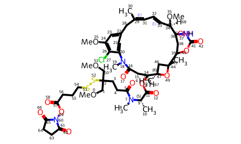 COCC(CCC(=O)N(C)[C@@H](C)C(=O)O[C@H]1CC(=O)N(C)c2cc(cc(OC)c2Cl)C/C(C)=C/C=C/[C@@H](OC)[C@@]2(O)CC(OC(=O)N2)C2(C)C[C@@]1(C)O2)(COC)SSCCCC(=O)ON1C(=O)CCC1=O